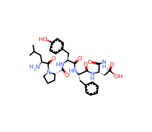 CC(C)C[C@H](N)C(=O)N1CCC[C@H]1C(=O)N[C@@H](Cc1ccc(O)cc1)C(=O)N[C@@H](Cc1ccccc1)C(=O)N[C@@H](CC(=O)O)C(N)=O